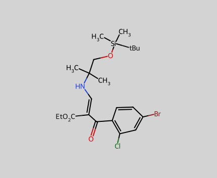 CCOC(=O)C(=CNC(C)(C)CO[Si](C)(C)C(C)(C)C)C(=O)c1ccc(Br)cc1Cl